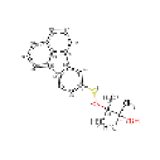 CC(C)(O)C(C)(C)OSc1ccc2c(c1)-c1cccc3cccc-2c13